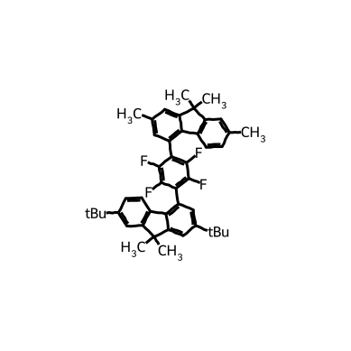 Cc1ccc2c(c1)C(C)(C)c1cc(C)cc(-c3c(F)c(F)c(-c4cc(C(C)(C)C)cc5c4-c4ccc(C(C)(C)C)cc4C5(C)C)c(F)c3F)c1-2